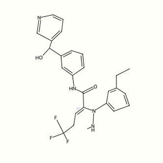 CCc1cccc(N(NC)/C(=C\CC(F)(F)F)C(=O)Nc2cccc(C(O)c3cccnc3)c2)c1